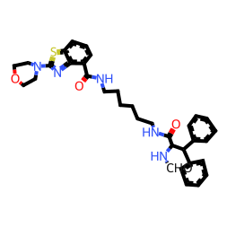 O=CNC(C(=O)NCCCCCCNC(=O)c1cccc2sc(N3CCOCC3)nc12)C(c1ccccc1)c1ccccc1